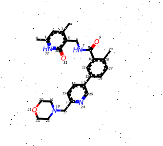 Cc1cc(C)c(CNC(=O)c2[c]c(-c3ccc(CN4CCOCC4)nc3)ccc2C)c(=O)[nH]1